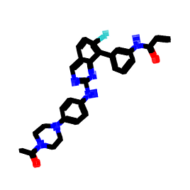 C=CC(=O)Nc1cccc(-c2c(F)ccc3cnc(Nc4ccc(N5CCN(C(C)=O)CC5)cc4)nc23)c1